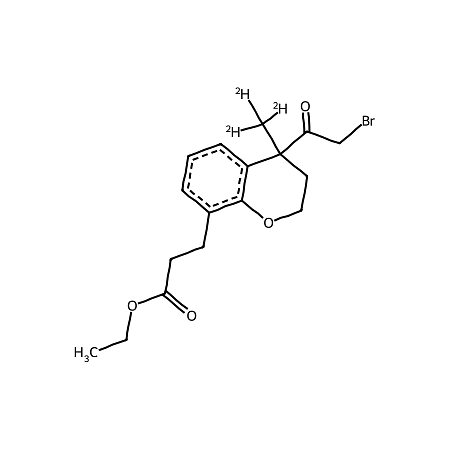 [2H]C([2H])([2H])C1(C(=O)CBr)CCOc2c(CCC(=O)OCC)cccc21